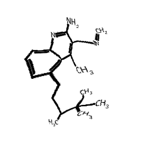 C=Nc1c(N)nc2cccc(CCC(C)C(C)(C)C)c2c1C